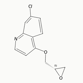 Clc1ccc2c(OC[C@@H]3CO3)ccnc2c1